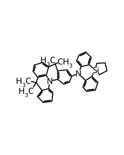 CC1(C)c2ccccc2N2c3ccc(N4c5ccccc5[Si]5(CCCC5)c5ccccc54)cc3C(C)(C)c3cccc1c32